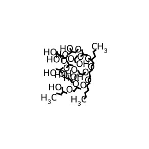 CCCCC(COCC(COCC(CCCC)OCC(COCC(CO)CCC)OCC(O)CO)OCC(C)COCC(COCC(O)CO)OCC(O)CO)OCC(COCC(O)CO)OCC(O)CO